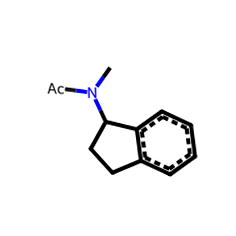 CC(=O)N(C)C1CCc2ccccc21